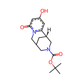 CC(C)(C)OC(=O)N1CC2C[C@@H](C1)c1cc(O)cc(=O)n1C2